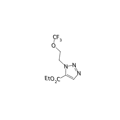 CCOC(=O)c1cnnn1CCOC(F)(F)F